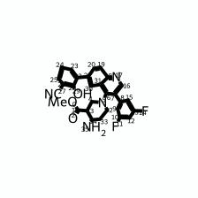 COC(=O)C1CN(c2c(-c3cc(F)cc(F)c3)cnc3ccc(-c4cccc(C#N)c4O)cc23)CCC1N